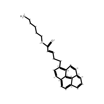 NCCCCCOC(=O)/C=C/CCc1ccc2ccc3cccc4ccc1c2c34